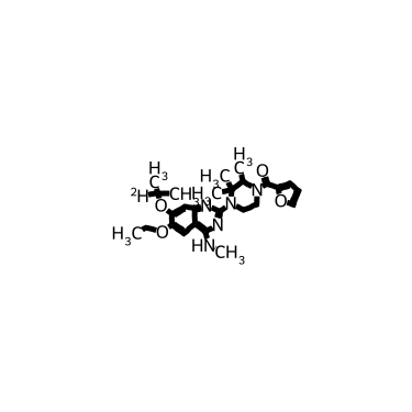 [2H]C(C)(C)Oc1cc2nc(N3CCN(C(=O)c4ccco4)C(C)C3(C)C)nc(NC)c2cc1OCC